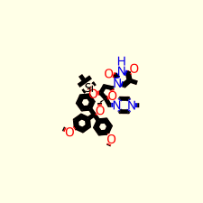 COc1ccc(C(OC[C@@]2(CN3CCN(C)CC3)O[C@@H](n3cc(C)c(=O)[nH]c3=O)CC2O[Si](C)(C)C(C)(C)C)(c2ccccc2)c2ccc(OC)cc2)cc1